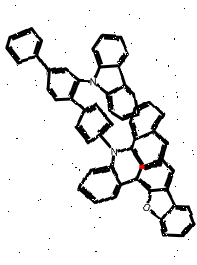 c1ccc(-c2ccc(-c3ccc(N(c4ccccc4-c4cccc5c4oc4ccccc45)c4cccc5ccccc45)cc3)c(-n3c4ccccc4c4ccccc43)c2)cc1